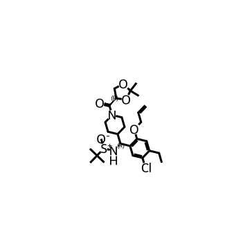 C=CCOc1cc(CC)c(Cl)cc1[C@H](N[S+]([O-])C(C)(C)C)C1CCN(C(=O)[C@H]2COC(C)(C)O2)CC1